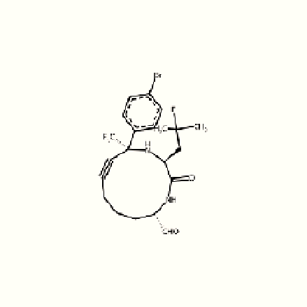 CC(C)(F)C[C@@H]1N[C@@](c2ccc(Br)cc2)(C(F)(F)F)C#CCCC[C@@H](C=O)NC1=O